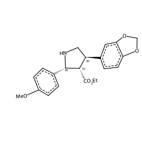 CCOC(=O)[C@H]1[C@H](c2ccc3c(c2)OCO3)CN[C@H]1c1ccc(OC)cc1